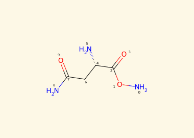 NOC(=O)[C@@H](N)CC(N)=O